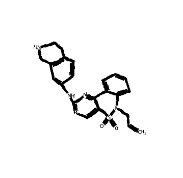 C=CCN1c2ccccc2-c2nc(Nc3ccc4c(c3)CNCC4)ncc2S1(=O)=O